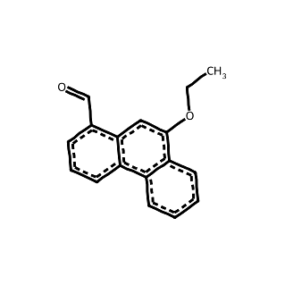 CCOc1cc2c(C=O)cccc2c2ccccc12